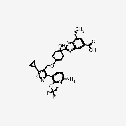 COc1cc(C(=O)O)cc2sc(C3(O)CCC(OCc4c(-c5ccc(N)nc5OC(F)(F)F)noc4C4CC4)CC3)nc12